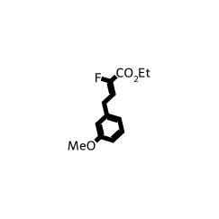 CCOC(=O)C(F)=CCc1cccc(OC)c1